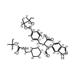 CC(C)(C)OC(=O)NC[C@H]1CC[C@H](C(=O)N(c2ccc3cn[nH]c3c2)[C@@H](Cc2ccc(B3OC(C)(C)C(C)(C)O3)cc2)C(N)=O)CC1